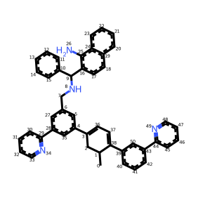 CC1CC(c2cc(CNC(c3ccccc3)c3ccc4ccccc4c3N)cc(-c3ccccn3)c2)=CC=C1c1cccc(-c2ccccn2)c1